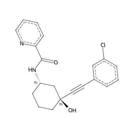 O=C(N[C@H]1CCC[C@@](O)(C#Cc2cccc(Cl)c2)C1)c1ccccn1